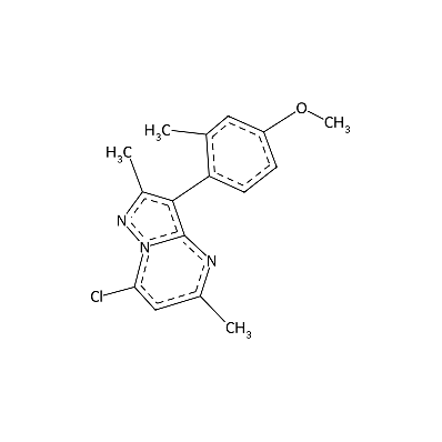 COc1ccc(-c2c(C)nn3c(Cl)cc(C)nc23)c(C)c1